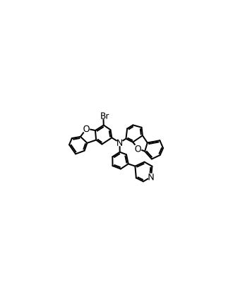 Brc1cc(N(c2cccc(-c3ccncc3)c2)c2cccc3c2oc2ccccc23)cc2c1oc1ccccc12